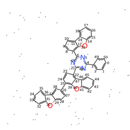 c1ccc(-c2nc(-c3cccc4c3oc3ccccc34)nc(-c3ccc(-c4ccc5oc6ccccc6c5c4)c4oc5ccccc5c34)n2)cc1